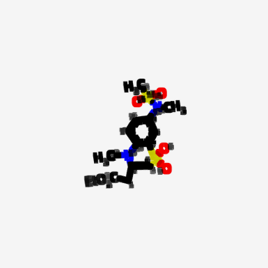 CCOC(=O)CC1=CS(=O)(=O)c2cc(N(C)S(C)(=O)=O)ccc2N1C